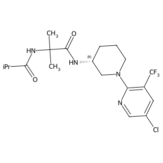 CC(C)C(=O)NC(C)(C)C(=O)N[C@@H]1CCCN(c2ncc(Cl)cc2C(F)(F)F)C1